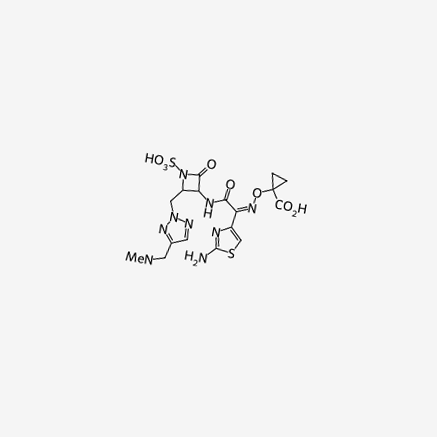 CNCc1cnn(CC2C(NC(=O)/C(=N\OC3(C(=O)O)CC3)c3csc(N)n3)C(=O)N2S(=O)(=O)O)n1